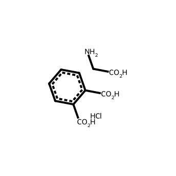 Cl.NCC(=O)O.O=C(O)c1ccccc1C(=O)O